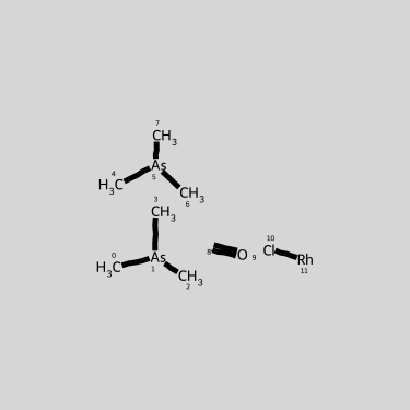 C[As](C)C.C[As](C)C.[C]=O.[Cl][Rh]